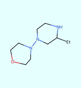 CCC1CN(N2CCOCC2)CCN1